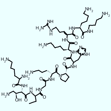 CCC(NC(=O)[C@@H](NC(=O)C(N)CCCCN)[C@@H](O)CN)C(=O)NCC(=O)N[C@H](CCCN)C(=O)N1CCC[C@H]1C(=O)NC(Cc1cnc[nH]1)C(=O)N[C@@H](CCCCN)C(=O)N/C(=C\CCNC(=N)N)C(=O)N[C@@H](CCCCN)C(=O)NCCCCN